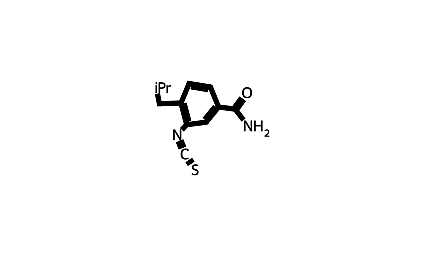 CC(C)Cc1ccc(C(N)=O)cc1N=C=S